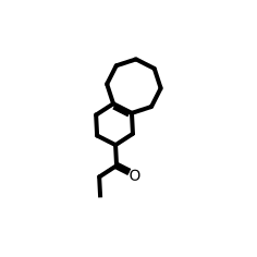 CCC(=O)C1CCC2=C(CCCCCC2)C1